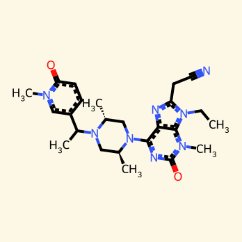 CCn1c(CC#N)nc2c(N3C[C@@H](C)N(C(C)c4ccc(=O)n(C)c4)C[C@@H]3C)nc(=O)n(C)c21